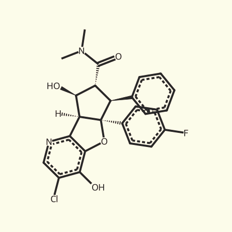 CN(C)C(=O)[C@H]1[C@H](O)[C@@H]2c3ncc(Cl)c(O)c3O[C@]2(c2ccc(F)cc2)[C@@H]1c1ccccc1